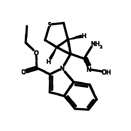 CCOC(=O)c1cc2ccccc2n1C1(C(N)=NO)[C@@H]2CSC[C@@H]21